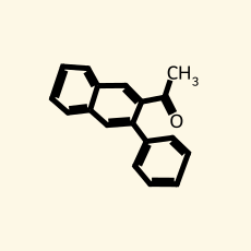 CC(=O)c1cc2ccccc2cc1-c1ccccc1